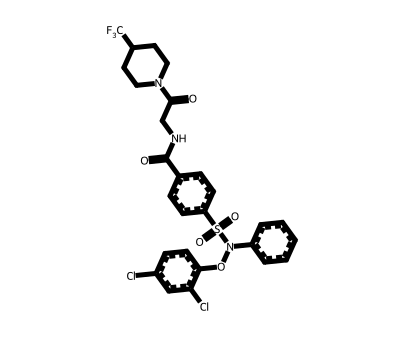 O=C(NCC(=O)N1CCC(C(F)(F)F)CC1)c1ccc(S(=O)(=O)N(Oc2ccc(Cl)cc2Cl)c2ccccc2)cc1